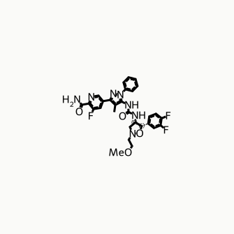 COCCN1C[C@@H](NC(=O)Nc2c(C)c(-c3cnc(C(N)=O)c(F)c3)nn2-c2ccccc2)[C@H](c2ccc(F)c(F)c2)O1